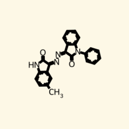 Cc1ccc2c(c1)C(=NN=C1C(=O)N(c3ccccc3)c3ccccc31)C(=O)N2